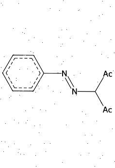 CC(=O)C(N=Nc1ccccc1)C(C)=O